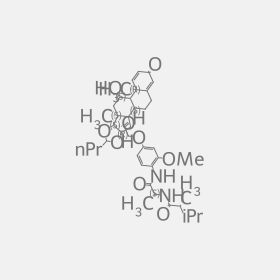 CCCC1O[C@@H]2CC3[C@@H]4CCC5=CC(=O)C=C[C@]5(C)C4[C@@H](O)C[C@]3(C)[C@]2(C(=O)COc2ccc(NC(=O)[C@H](C)NC(=O)C(C)C(C)C)c(OC)c2)O1